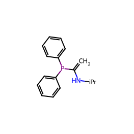 C=C(NC(C)C)P(c1ccccc1)c1ccccc1